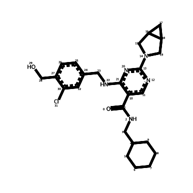 O=C(NCC1CCCCC1)c1cnc(N2CC3CC3C2)nc1NCc1ccc(CO)c(Cl)c1